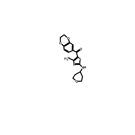 Nc1nc(NC2CCOCC2)sc1C(=O)c1ccc2c(c1)OCCO2